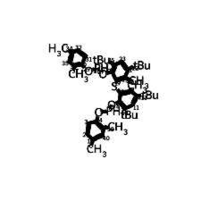 Cc1ccc(OPOc2c(C(C)(C)C)cc(C(C)(C)C)c(C)c2Sc2c(C)c(C(C)(C)C)cc(C(C)(C)C)c2OPOc2ccc(C)cc2C)c(C)c1